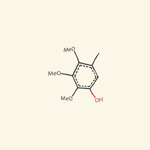 COc1c(C)cc(O)c(OC)c1OC